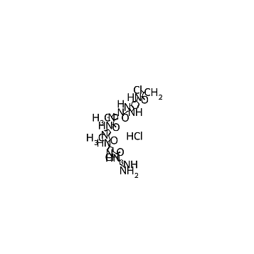 C=C(Cl)C(=O)Nc1ccc2[nH]c(C(=O)Nc3cc(C(=O)Nc4cc(C(=O)Nc5cc(C(=O)NCCC(=N)N)n(C)c5)n(C)c4)n(C)c3)nc2c1.Cl